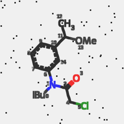 CCC(C)N(C(=O)CCl)c1cccc(C(C)OC)c1